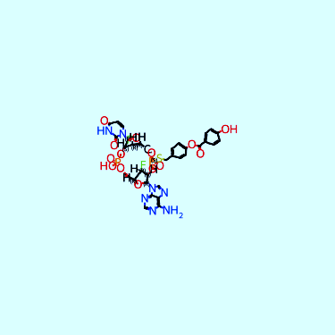 Nc1ncnc2c1ncn2[C@@H]1O[C@@H]2COP(=O)(O)O[C@@H]3[C@H](F)[C@@H](CO[P@](=O)(SCc4ccc(OC(=O)c5ccc(O)cc5)cc4)O[C@@H]1[C@@H]2F)O[C@H]3n1ccc(=O)[nH]c1=O